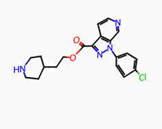 O=C(OCCC1CCNCC1)c1nn(-c2ccc(Cl)cc2)c2cnccc12